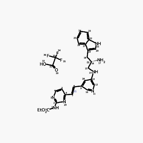 CCOC(=O)Nc1nccc(/C=C/c2cncc(NC[C@@H](N)Cc3c[nH]c4ccccc34)c2)n1.O=C(O)C(F)(F)F